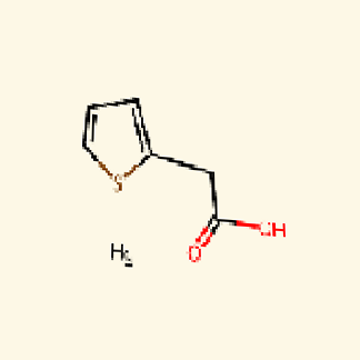 O=C(O)Cc1cccs1.[Hg]